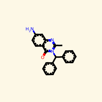 Cc1nc2cc(N)ccc2c(=O)n1C(c1ccccc1)c1ccccc1